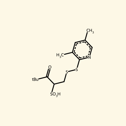 Cc1cnc(SSCC(C(=O)C(C)(C)C)S(=O)(=O)O)c(C)c1